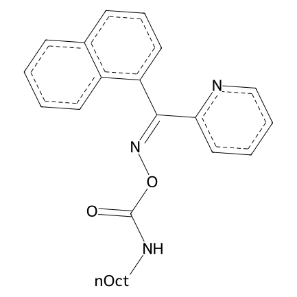 CCCCCCCCNC(=O)ON=C(c1ccccn1)c1cccc2ccccc12